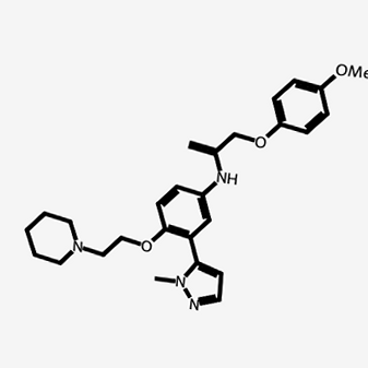 C=C(COc1ccc(OC)cc1)Nc1ccc(OCCN2CCCCC2)c(-c2ccnn2C)c1